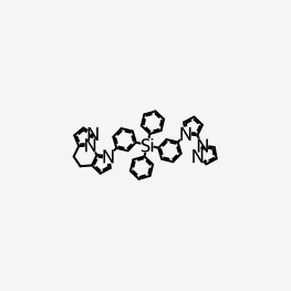 c1ccc([Si](c2ccccc2)(c2cccc(-n3cccc3-n3cccn3)c2)c2cccc(-n3ccc4c3-n3nccc3CC4)c2)cc1